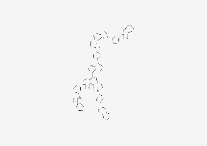 c1cc(-c2ccc3ccc4ccc(-c5ccc(-c6cccc7c(-c8cc9ccc(-c%10ccc(-c%11ccc%12ccccc%12c%11)cc%10)nc9c9nc(-c%10cccc(-c%11nc%12ccccc%12s%11)c%10)ccc89)cccc67)cc5)nc4c3n2)cc(-c2nc3ccccc3o2)c1